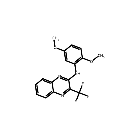 COc1ccc(OC)c(Nc2nc3ccccc3nc2C(F)(F)F)c1